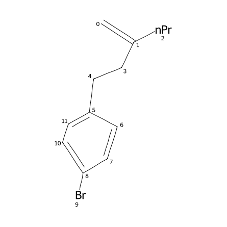 C=C(CCC)CCc1ccc(Br)cc1